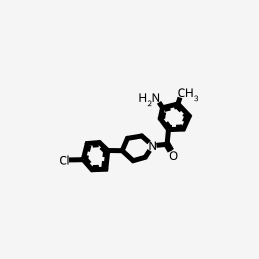 Cc1ccc(C(=O)N2CCC(c3ccc(Cl)cc3)CC2)cc1N